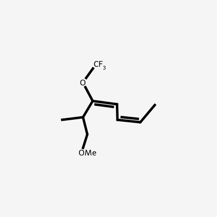 C/C=C\C=C(\OC(F)(F)F)C(C)COC